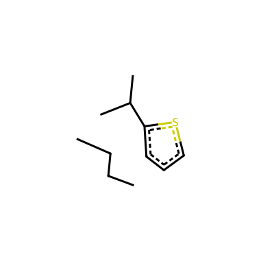 CC(C)c1cccs1.CCCC